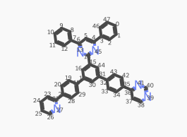 c1ccc(-c2cc(-c3ccccc3)nc(-c3cc(-c4ccc(-c5ccccn5)cc4)cc(-c4ccc(-c5ccncn5)cc4)c3)n2)cc1